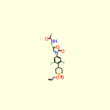 C=CCOP1(=O)CCC(c2c(F)cc(N3C[C@H](CNC(C)=O)OC3=O)cc2F)CC1